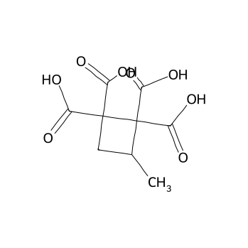 CC1CC(C(=O)O)(C(=O)O)C1(C(=O)O)C(=O)O